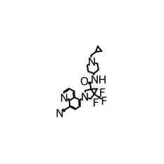 N#Cc1ccc(N2CC3(C(=O)NC4CCN(CC5CC5)CC4)CC3(C(F)(F)F)C2)c2cccnc12